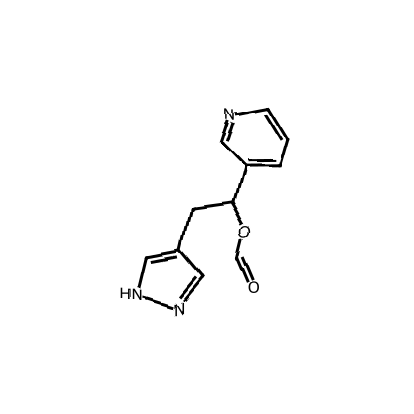 O=COC(Cc1cn[nH]c1)c1cccnc1